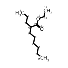 CCCCCCC(CCC)C(=O)OCC